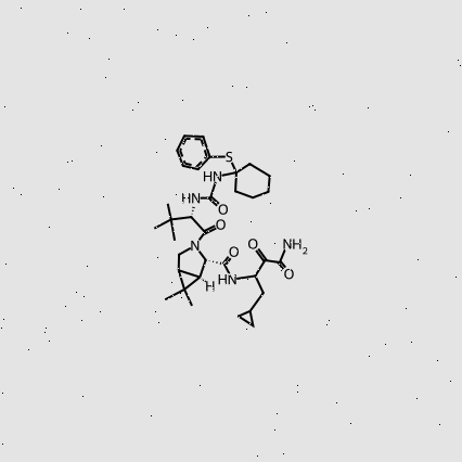 CC(C)(C)[C@H](NC(=O)NC1(Sc2ccccc2)CCCCC1)C(=O)N1CC2[C@@H]([C@H]1C(=O)NC(CC1CC1)C(=O)C(N)=O)C2(C)C